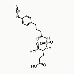 [N-]=[N+]=Nc1ccc(CCCC(=O)NS(=O)(=O)N[C@@H](CCC(=O)O)C(=O)O)cc1